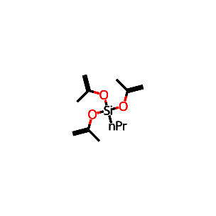 C=C(C)O[Si](CCC)(OC(=C)C)OC(=C)C